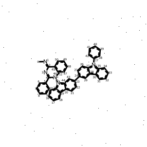 C/N=C(\N=C(\c1ccccc1)N(C)n1c2ccccc2c2ccc(-c3ccc4c(c3)c3ccccc3n4-c3ccccc3)cc21)c1ccccc1